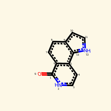 O=c1[nH]ccc2c1ccc1cc[nH]c12